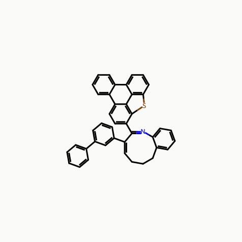 C1=C(c2cccc(-c3ccccc3)c2)\C(c2ccc3c4ccccc4c4cccc5sc2c3c54)=N/c2ccccc2CCC/1